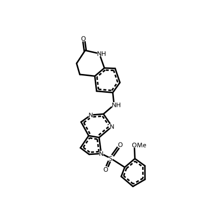 COc1ccccc1S(=O)(=O)n1ccc2cnc(Nc3ccc4c(c3)CCC(=O)N4)nc21